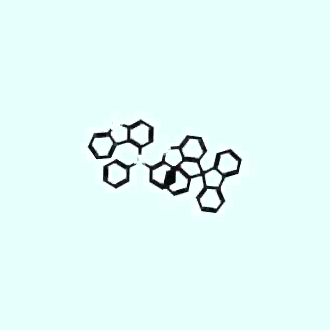 c1ccc(N(c2cccc3c2sc2cccc(C4(c5ccccc5)c5ccccc5-c5ccccc54)c23)c2cccc3oc4ccccc4c23)cc1